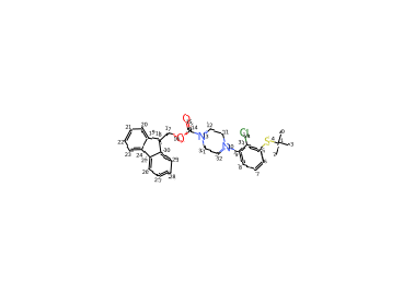 CC(C)(C)Sc1cccc(N2CCN(C(=O)OCC3c4ccccc4-c4ccccc43)CC2)c1Cl